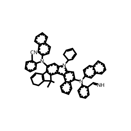 CC1(C)C2=C(C=CCC2)c2c(N(c3ccc4ccccc4c3)c3ccccc3C#N)cc3c(c21)c1c2ccccc2c(N(c2ccc4ccccc4c2)c2ccccc2C=N)cc1n3C1C=CC=CC1